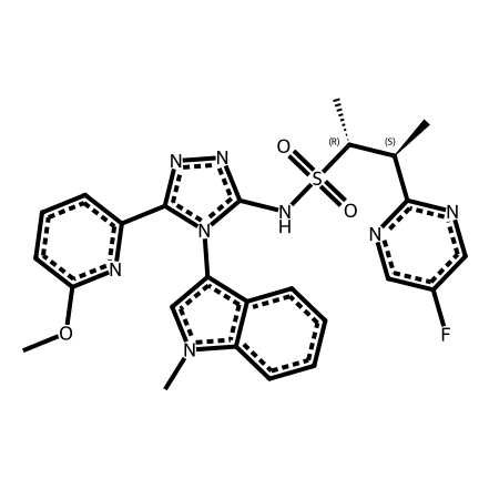 COc1cccc(-c2nnc(NS(=O)(=O)[C@H](C)[C@@H](C)c3ncc(F)cn3)n2-c2cn(C)c3ccccc23)n1